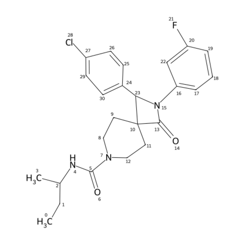 CCC(C)NC(=O)N1CCC2(CC1)C(=O)N(c1cccc(F)c1)C2c1ccc(Cl)cc1